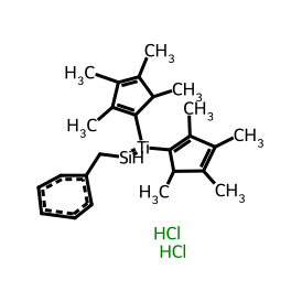 CC1=C(C)C(C)[C]([Ti](=[SiH]Cc2ccccc2)[C]2=C(C)C(C)=C(C)C2C)=C1C.Cl.Cl